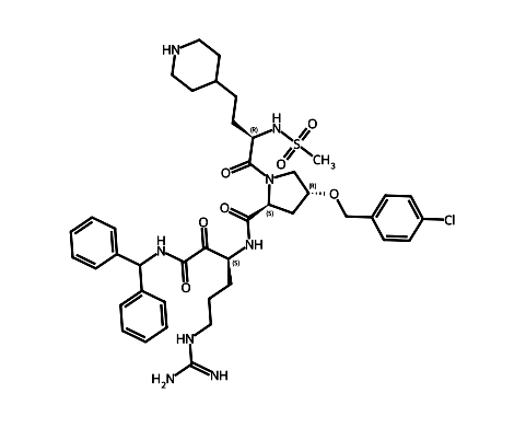 CS(=O)(=O)N[C@H](CCC1CCNCC1)C(=O)N1C[C@H](OCc2ccc(Cl)cc2)C[C@H]1C(=O)N[C@@H](CCCNC(=N)N)C(=O)C(=O)NC(c1ccccc1)c1ccccc1